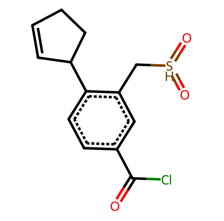 O=C(Cl)c1ccc(C2C=CCC2)c(C[SH](=O)=O)c1